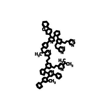 Cc1cc(-c2ccccc2)ccc1-c1cc(-c2ccccc2)ncc1-c1ccccc1-c1cc(CCc2cncc(C(C)C)c2)cc(CCc2cncc(C(C)Cc3ccc(-c4cc(-c5ccc6c(c5)oc5ccccc56)c(-c5ccccc5-c5cc(CCc6cncnc6)cc(CCc6cncnc6)c5)cn4)cc3)c2)c1